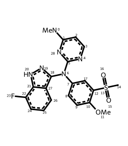 CNc1ccnc(N(c2ccc(OC)c(S(C)(=O)=O)c2)c2n[nH]c3c(F)cccc23)n1